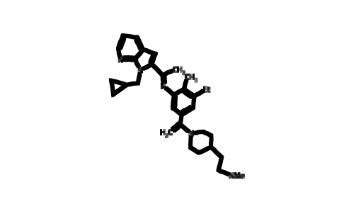 C=C(c1cc(CC)c(C)c(/N=C(\C)c2cc3cccnc3n2CC2CC2)c1)N1CCC(CCNC)CC1